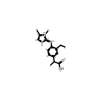 CCc1cc(C(C)C(=O)O)ccc1N=c1scc(C)n1C